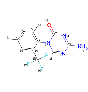 Cc1cc(C)c(-n2cnc(N)nc2=O)c(C(F)(F)F)c1